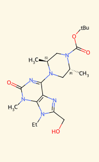 CCn1c(CO)nc2c(N3C[C@@H](C)N(C(=O)OC(C)(C)C)C[C@@H]3C)nc(=O)n(C)c21